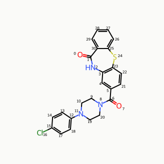 O=C1Nc2cc(C(=O)N3CCN(c4ccc(Cl)cc4)CC3)ccc2Sc2ccccc21